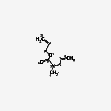 [CH2]N(CC=C)C(=O)OCC=C